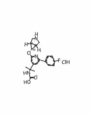 CC(C)(NC(=O)O)c1cc(O[C@@H]2[C@@H]3CNC[C@@H]32)nc(-c2ccc(F)cc2)c1.Cl